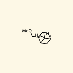 COCC1CCC2CC1C2(C)C